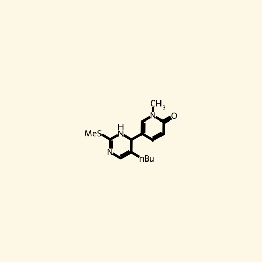 CCCCC1=CN=C(SC)NC1c1ccc(=O)n(C)c1